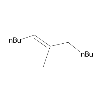 CCCC/C=C(\C)CCCCC